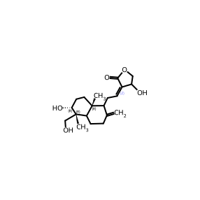 C=C1CCC2[C@](C)(CC[C@@H](O)[C@@]2(C)CO)C1C/C=C1\C(=O)OCC1O